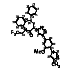 COc1cc(-c2cn(C3C[C@@H](c4ccccc4)c4ccccc4N(CC(F)(F)F)C3=O)nn2)ccc1-n1cnc(C)c1